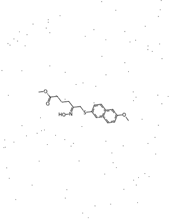 COC(=O)CCCC(CSc1ccc2cc(OC)ccc2c1)=NO